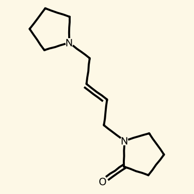 O=C1CCCN1CC=CCN1CCCC1